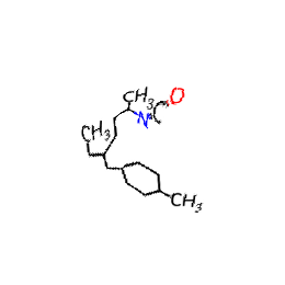 CCC(CCC(C)N=C=O)CC1CCC(C)CC1